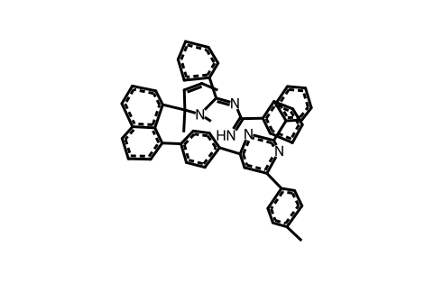 C/C=C\C(C)(c1cccc2cccc(-c3ccc(-c4cc(-c5ccc(C)cc5)nc(-c5ccccc5)n4)cc3)c12)N(C)/C(=N\C(=N)c1ccccc1)c1ccccc1